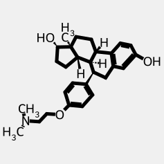 CN(C)CCOc1ccc([C@@H]2Cc3cc(O)ccc3[C@H]3CC[C@]4(C)[C@@H](O)CC[C@H]4[C@@H]32)cc1